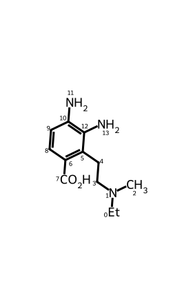 CCN(C)CCc1c(C(=O)O)ccc(N)c1N